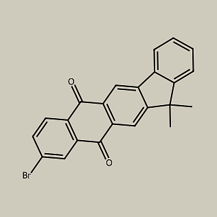 CC1(C)c2ccccc2-c2cc3c(cc21)C(=O)c1cc(Br)ccc1C3=O